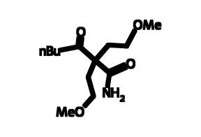 CCCCC(=O)C(CCOC)(CCOC)C(N)=O